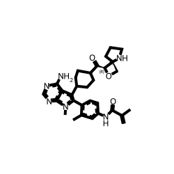 C=C(C)C(=O)Nc1ccc(-c2c(C3CCC(C(=O)[C@@H]4OC[C@]45CCCN5)CC3)c3c(N)ncnc3n2C)c(C)c1